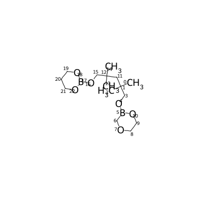 CC(C)(COB1COCCO1)CC(C)(C)COB1OCCCO1